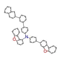 c1cc(-c2ccc(N(c3ccc(-c4ccc5c(c4)oc4ccccc45)cc3)c3cccc4oc5ccccc5c34)cc2)cc(-c2ccc3ccccc3c2)c1